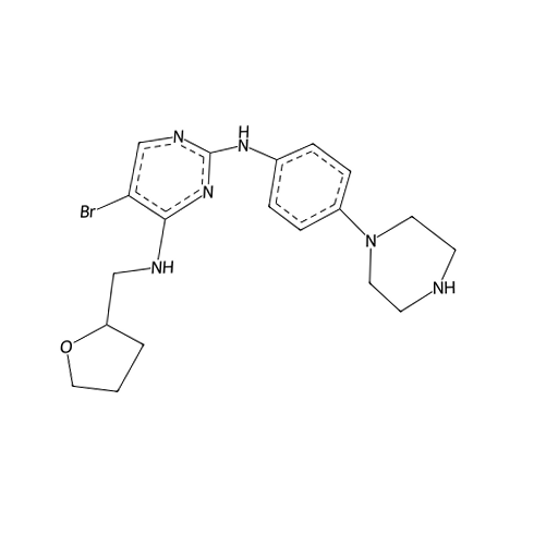 Brc1cnc(Nc2ccc(N3CCNCC3)cc2)nc1NCC1CCCO1